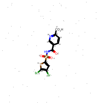 O=C(NS(=O)(=O)c1cc(Br)c(Br)s1)c1ccc(C(=O)O)nc1